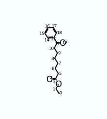 CCOC(=O)CCCCCCC(=O)c1ccccc1